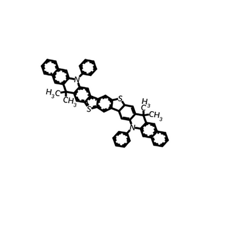 CC1(C)C2=CC3Sc4cc5c(cc4C3C=C2N(c2ccccc2)c2cc3ccccc3cc21)sc1cc2c(cc15)N(c1ccccc1)c1cc3ccccc3cc1C2(C)C